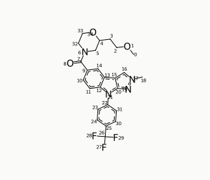 COCCC1CN(C(=O)c2ccc3c(c2)c2cn(C)nc2n3-c2ccc(C(F)(F)F)cc2)CCO1